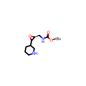 CC(C)(C)OC(=O)NC[C@@H]1OC1C1CCCNC1